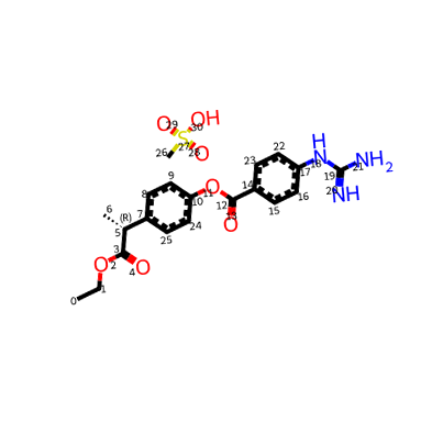 CCOC(=O)[C@H](C)c1ccc(OC(=O)c2ccc(NC(=N)N)cc2)cc1.CS(=O)(=O)O